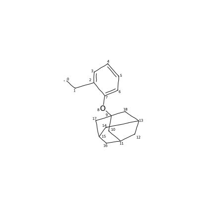 [CH2]Cc1ccccc1OC12CC3CC(CC(C3)C1)C2